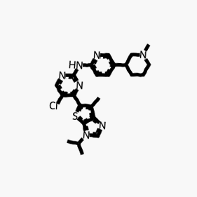 Cc1c(-c2nc(Nc3ccc(C4CCCN(C)C4)cn3)ncc2Cl)sc2c1ncn2C(C)C